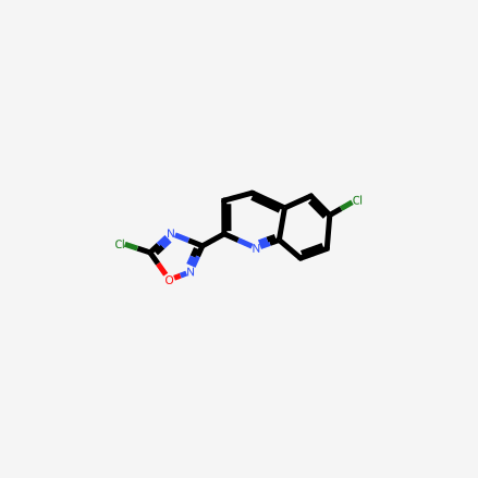 Clc1ccc2nc(-c3noc(Cl)n3)ccc2c1